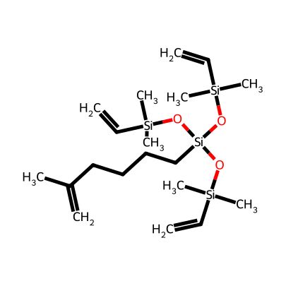 C=C[Si](C)(C)O[Si](CCCCC(=C)C)(O[Si](C)(C)C=C)O[Si](C)(C)C=C